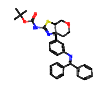 CC(C)(C)OC(=O)NC1=N[C@@]2(c3cccc(N=C(c4ccccc4)c4ccccc4)c3)CCOCC2S1